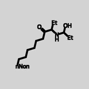 CCCCCCCCCCCCCCCC(=O)C(CC)NC(O)CC